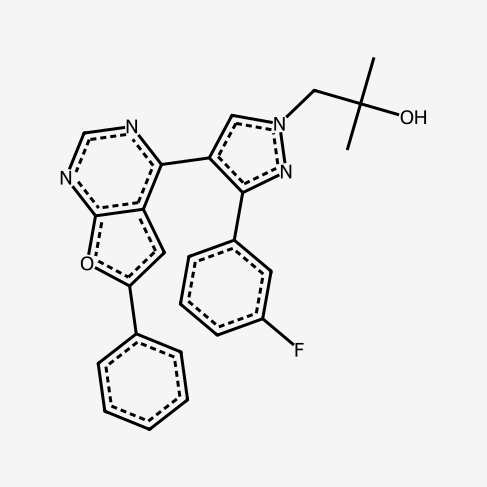 CC(C)(O)Cn1cc(-c2ncnc3oc(-c4ccccc4)cc23)c(-c2cccc(F)c2)n1